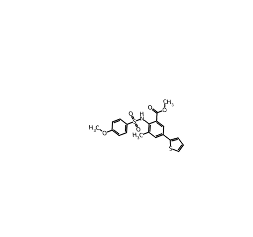 COC(=O)c1cc(-c2cccs2)cc(C)c1NS(=O)(=O)c1ccc(OC)cc1